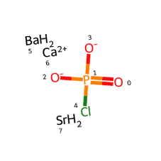 O=P([O-])([O-])Cl.[BaH2].[Ca+2].[SrH2]